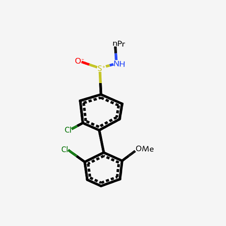 CCCN[S+]([O-])c1ccc(-c2c(Cl)cccc2OC)c(Cl)c1